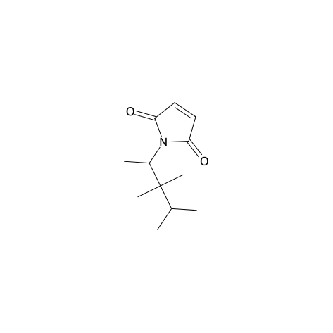 CC(C)C(C)(C)C(C)N1C(=O)C=CC1=O